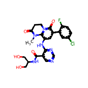 CN1C(=O)CCn2c1c(Nc1ncncc1C(=O)NC(CO)CO)cc(-c1cc(Cl)ccc1F)c2=O